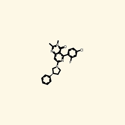 Cc1nc2cc(N3CC[C@@H](c4ccccc4)C3)nc(-c3ccc(Cl)cc3F)c2c(=O)n1C